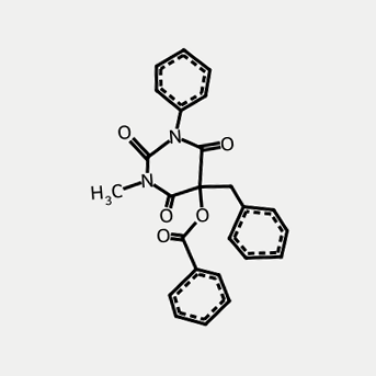 CN1C(=O)N(c2ccccc2)C(=O)C(Cc2ccccc2)(OC(=O)c2ccccc2)C1=O